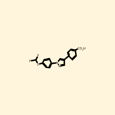 O=C(O)c1ccc(-c2cnn(-c3ccc(OC(F)F)cc3)c2)cc1